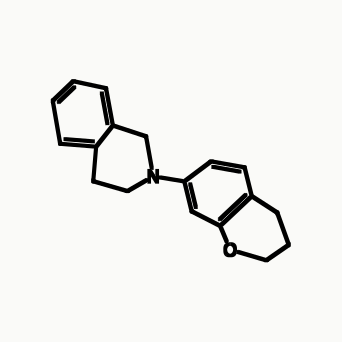 c1ccc2c(c1)CCN(c1ccc3c(c1)OCCC3)C2